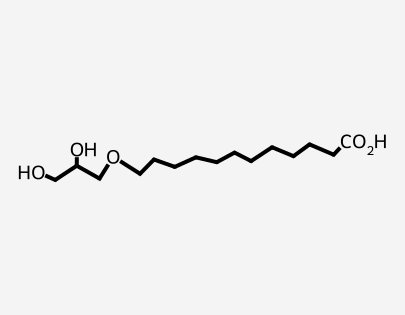 O=C(O)CCCCCCCCCCCOCC(O)CO